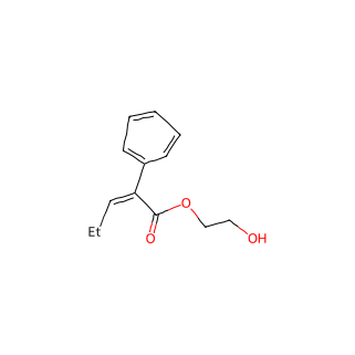 CCC=C(C(=O)OCCO)c1ccccc1